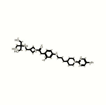 CCCc1cnc(N2CCC(CCCOc3ccc(CC(=O)N4CC(CNC(CO)(CO)CO)C4)c(F)c3)CC2)nc1